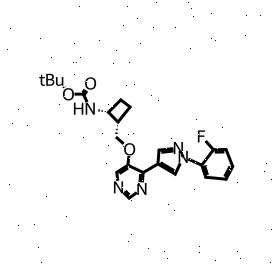 CC(C)(C)OC(=O)N[C@@H]1CC[C@@H]1COc1cncnc1-c1cnn(-c2ccccc2F)c1